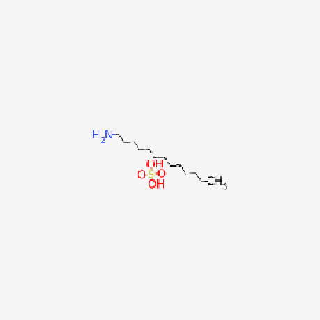 CCCCCCCCCCCCCN.O=S(=O)(O)O